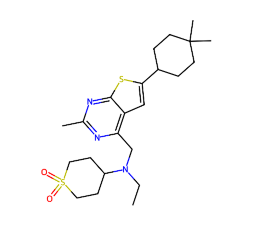 CCN(Cc1nc(C)nc2sc(C3CCC(C)(C)CC3)cc12)C1CCS(=O)(=O)CC1